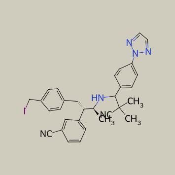 C[C@H](NC(c1ccc(-n2nccn2)cc1)C(C)(C)C#N)[C@@H](Cc1ccc(CI)cc1)c1cccc(C#N)c1